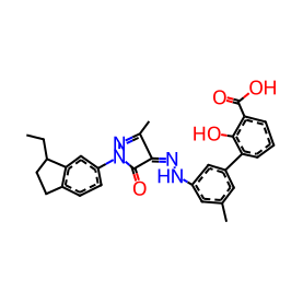 CCC1CCc2ccc(N3N=C(C)C(=NNc4cc(C)cc(-c5cccc(C(=O)O)c5O)c4)C3=O)cc21